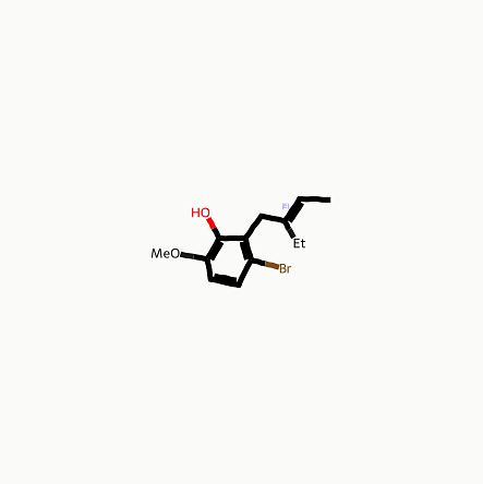 C/C=C(\CC)Cc1c(Br)ccc(OC)c1O